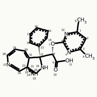 Cc1cc(C)nc(O[C@H](C(=O)O)[C@@]2(c3ccccc3)NC3CNN=CC34C=NC=CC=C42)n1